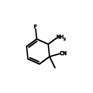 CC1(C#N)C=CC=C(F)C1N